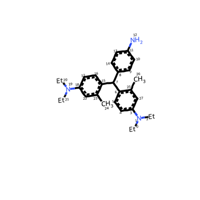 CCN(CC)c1ccc(C(c2ccc(N)cc2)c2ccc(N(CC)CC)cc2C)c(C)c1